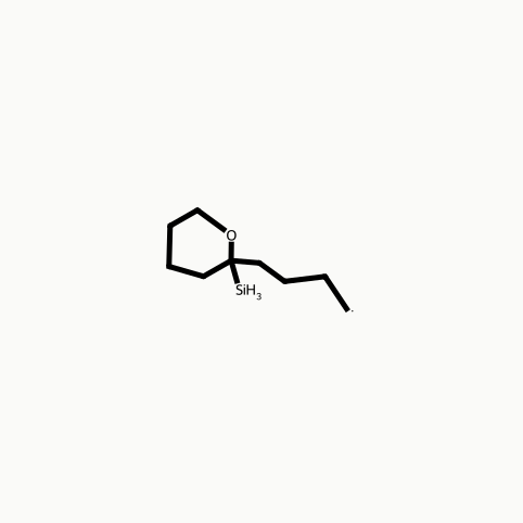 [CH2]CCCC1([SiH3])CCCCO1